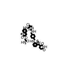 CNC(=O)COc1cc2cc(Nc3nc(NCC4CCC(CNc5cccc6c(C7CCC(=O)NC7=O)nn(C)c56)CC4)ncc3Cl)ccc2n(C)c1=O